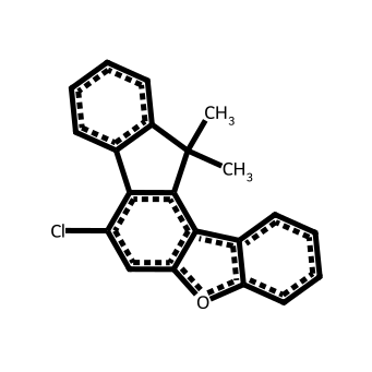 CC1(C)c2ccccc2-c2c(Cl)cc3oc4ccccc4c3c21